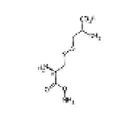 NOC(=O)[C@@H](N)CSSCC(N)C(=O)O